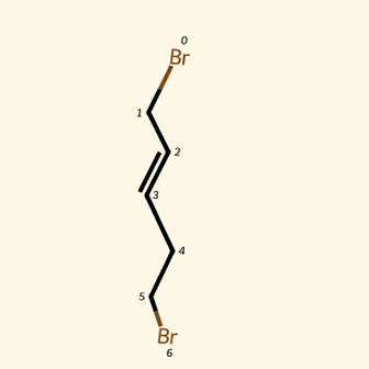 BrCC=CCCBr